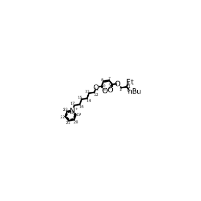 CCCCC(CC)COC(=O)/C=C\C(=O)OCCCCCC[n+]1ccccc1